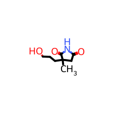 CC1(CCCO)CC(=O)NC1=O